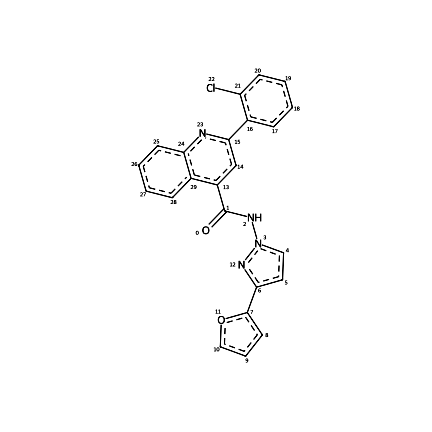 O=C(Nn1ccc(-c2ccco2)n1)c1cc(-c2ccccc2Cl)nc2ccccc12